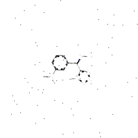 CN(C)c1cccc(/C(=N/O)c2nnnn2C)c1